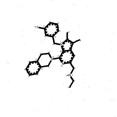 CCNCc1cc2c(C)c(C)n(Cc3cccc(F)c3)c2c(N2CCc3ccccc3C2)n1